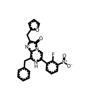 O=c1c(Cc2ccco2)nc2c(Cc3ccccc3)[nH]c(-c3cccc([N+](=O)[O-])c3F)cn1-2